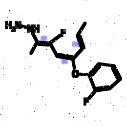 C/C=C/C(=C\C(F)=C(/C)NN)Oc1ccccc1F